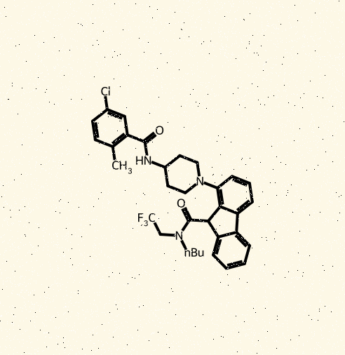 CCCCN(CC(F)(F)F)C(=O)C1c2ccccc2-c2cccc(N3CCC(NC(=O)c4cc(Cl)ccc4C)CC3)c21